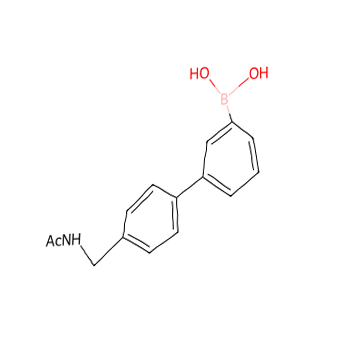 CC(=O)NCc1ccc(-c2cccc(B(O)O)c2)cc1